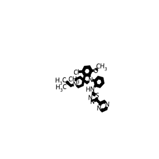 COc1ccc(Cl)c2c1N(c1ccccc1Nc1nnc(-c3cnccn3)s1)CC21CCN(CC(C)(C)C)CC1